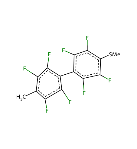 CSc1c(F)c(F)c(-c2c(F)c(F)c(C)c(F)c2F)c(F)c1F